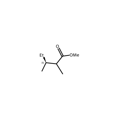 CC[C@H](C)C(C)C(=O)OC